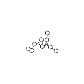 c1ccc(-c2ccc(N(c3ccc(-c4ccccc4)cc3)c3cccc4c3c3ccccc3n4-c3cccc(-c4cccc5ccccc45)c3)cc2)cc1